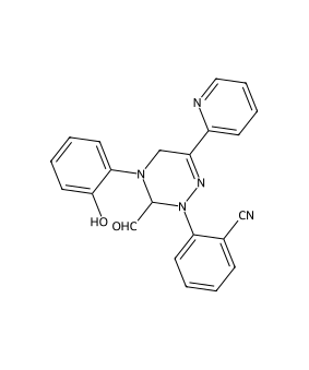 N#Cc1ccccc1N1N=C(c2ccccn2)CN(c2ccccc2O)C1C=O